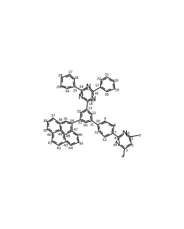 Cc1cc(C)nc(-c2ccc(-c3cc(-c4nc(-c5ccccc5)nc(-c5ccccc5)n4)cc(-c4cc5cccc6ccc7cccc4c7c65)c3)cc2)n1